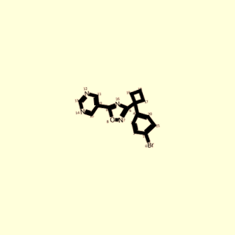 Brc1ccc(C2(c3noc(-c4cncnc4)n3)CCC2)cc1